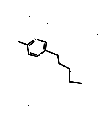 CCCCCc1ccc(C)nc1